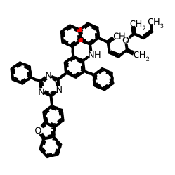 C=C(/C=C\C)OC(=C)/C=C\C(=C)c1ccccc1Nc1c(-c2ccccc2)cc(-c2nc(-c3ccccc3)nc(-c3ccc4c(c3)oc3ccccc34)n2)cc1-c1ccccc1